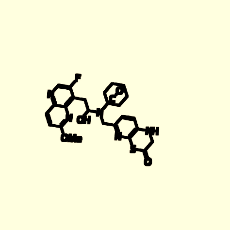 COc1ccc2ncc(F)c(CC(O)N(Cc3ccc4c(n3)SC(=O)CN4)C34CCC(CC3)OC4)c2n1